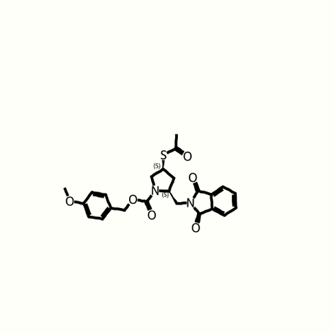 COc1ccc(COC(=O)N2C[C@@H](SC(C)=O)C[C@H]2CN2C(=O)c3ccccc3C2=O)cc1